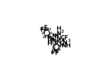 NC1=NC(c2c[nH]nc2C(F)(F)F)(C2CCC(F)(F)CC2)NC(NC2CCC(F)(F)CC2)=N1